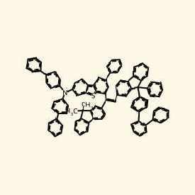 CC1(C)c2ccccc2-c2ccc(/C(=C/c3ccc4c(c3)C(c3ccccc3)(c3ccc(-c5ccccc5-c5ccccc5)cc3)c3ccccc3-4)c3cc(-c4ccccc4)cc4c3sc3cc(N(c5ccc(-c6ccccc6)cc5)c5ccc(-c6ccccc6)cc5)ccc34)cc21